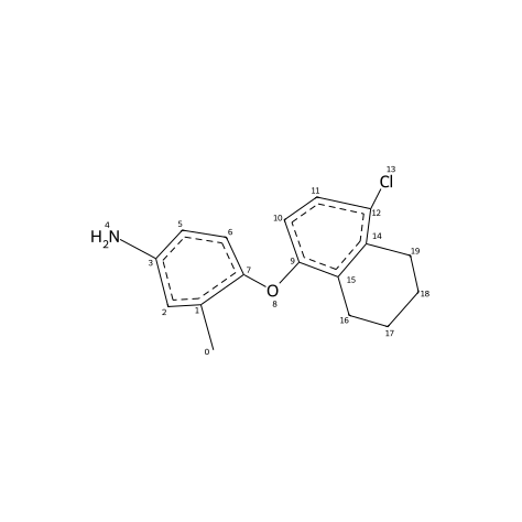 Cc1cc(N)ccc1Oc1ccc(Cl)c2c1CCCC2